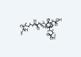 CCNC(=O)[C@@H](C)CCCNC(=O)CSC[C@H](NC(=O)CC[C@H](C)C(=O)O)C(=O)NCC(=O)O